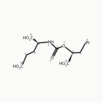 CC(C)C[C@H](OC(=O)N[C@@H](CCC(=O)O)C(=O)O)C(=O)O